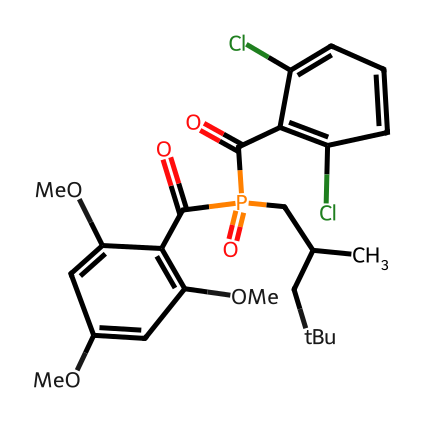 COc1cc(OC)c(C(=O)P(=O)(CC(C)CC(C)(C)C)C(=O)c2c(Cl)cccc2Cl)c(OC)c1